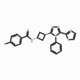 O=C(N[C@H]1C[C@H](c2nnc(-c3nccs3)n2-c2ccccc2)C1)c1ccc(F)cc1